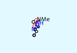 CNC(C)C(=O)NC(C(=O)N1CCCC1c1cncc2c1CCC2c1ccccc1)C1CCCCC1